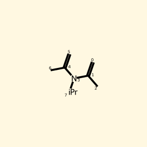 C=C(C)N(C(=C)C)C(C)C